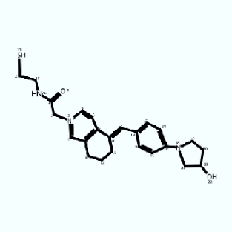 O=C(C[n+]1ccc2c(c1)CCC/C2=C\c1ccc(N2CCC(O)C2)cc1)NCCS